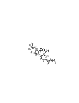 CN(N)c1ccc(-c2sc3c(c2C(=O)O)CC(C)(C)CC3)cc1